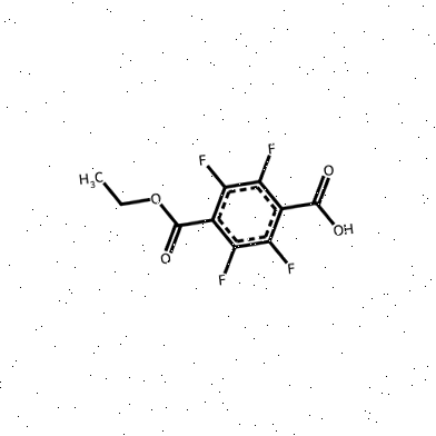 CCOC(=O)c1c(F)c(F)c(C(=O)O)c(F)c1F